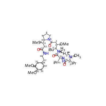 CCC(C)C(C(CC(=O)N1CCCC1C(CC(=O)NCCc1ccc(OC)c(OC)c1)SC)OC)N(C)C(=O)C(NC(=O)C(C(C)C)N(C)C)C(C)C